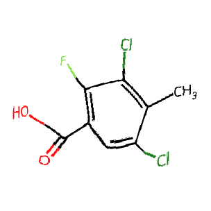 Cc1c(Cl)cc(C(=O)O)c(F)c1Cl